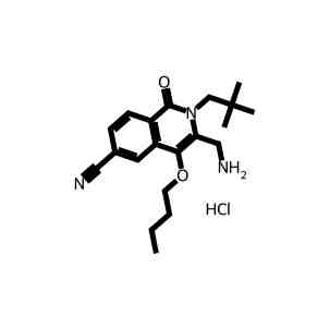 CCCCOc1c(CN)n(CC(C)(C)C)c(=O)c2ccc(C#N)cc12.Cl